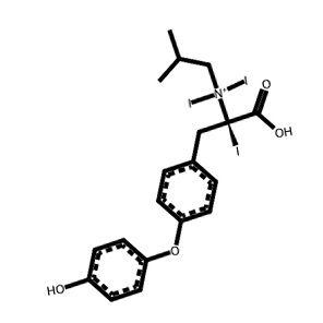 CC(C)C[N+](I)(I)[C@@](I)(Cc1ccc(Oc2ccc(O)cc2)cc1)C(=O)O